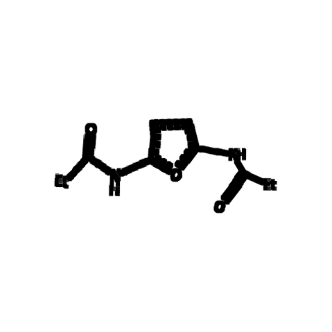 CCC(=O)Nc1ccc(NC(=O)CC)o1